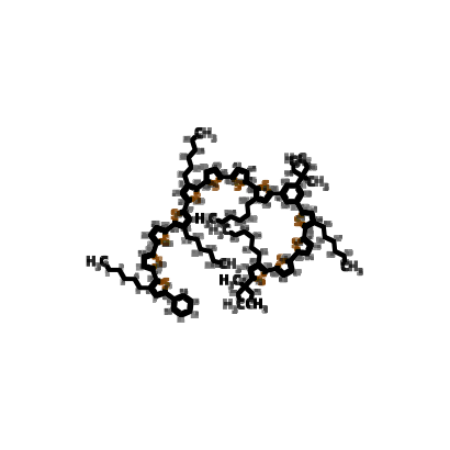 CCCCCCc1cc(-c2ccccc2)sc1-c1ccc(-c2ccc(-c3sc(-c4cc(CCCCCC)c(-c5ccc(-c6ccc(-c7sc(-c8cc(-c9cc(CCCCCC)c(-c%10ccc(-c%11ccc(-c%12sc(C(C)(CC)CC)cc%12CCCCCC)s%11)s%10)s9)cc(C(C)(CC)CC)c8)cc7CCCCCC)s6)s5)s4)cc3CCCCCC)s2)s1